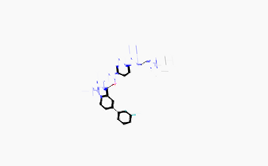 CN(C)CCNc1ccc(NC(=O)c2n[nH]c3ccc(-c4cccc(F)c4F)cc23)cn1